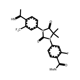 CNC(=O)c1ccc(N2C(=S)N(c3ccc(C(C)=N)c(C(F)(F)F)c3)C(=O)C2(C)C)cc1F